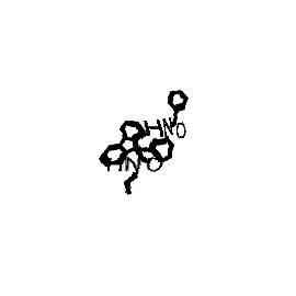 CCCNC(=O)C1(c2cccc(NC(=O)c3ccccc3)c2)c2ccccc2-c2ccccc21